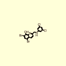 Oc1c(Br)cc(Br)c2ccc(CNc3cc(Cl)cc(Cl)c3)nc12